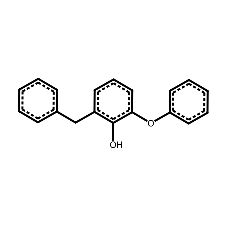 Oc1c(Cc2ccccc2)cccc1Oc1ccccc1